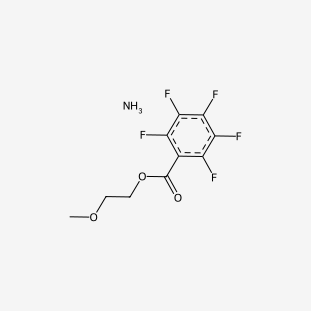 COCCOC(=O)c1c(F)c(F)c(F)c(F)c1F.N